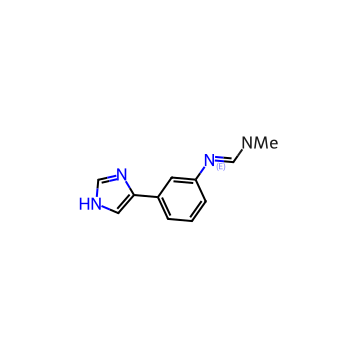 CN/C=N/c1cccc(-c2c[nH]cn2)c1